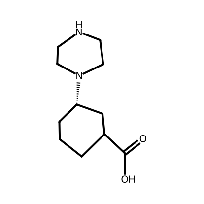 O=C(O)C1CCC[C@H](N2CCNCC2)C1